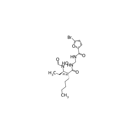 CCCCC[C@@H](C(=O)NCNC(=O)c1ccc(Br)o1)[C@@H](CC)N(O)C=O